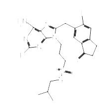 CC(C)CNS(=O)(=O)CCCn1c(Cc2cc3c(cc2I)CCC3=O)nc2c(N)nc(F)nc21